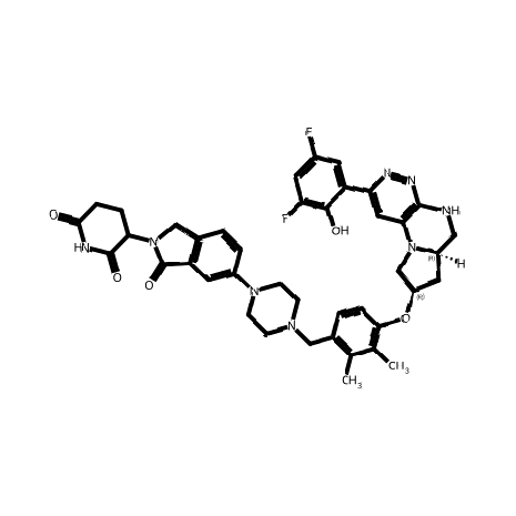 Cc1c(CN2CCN(c3ccc4c(c3)C(=O)N(C3CCC(=O)NC3=O)C4)CC2)ccc(O[C@@H]2C[C@@H]3CNc4nnc(-c5cc(F)cc(F)c5O)cc4N3C2)c1C